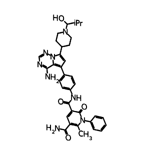 Cc1c(C(N)=O)cc(C(=O)Nc2ccc(-c3cc(C4CCN(C(O)C(C)C)CC4)n4ncnc(N)c34)cc2)c(=O)n1-c1ccccc1